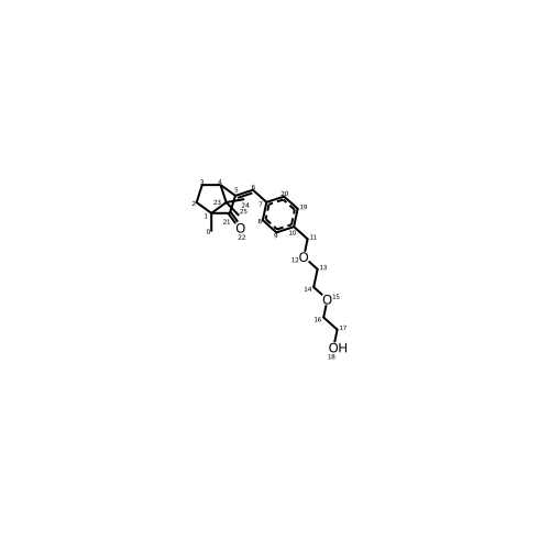 CC12CCC(/C(=C/c3ccc(COCCOCCO)cc3)C1=O)C2(C)C